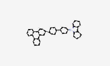 c1ccc2c(c1)c1ccccc1c1cc(-c3ccc(-c4ccc(-n5c6ccccc6c6ccccc65)cc4)cc3)ccc21